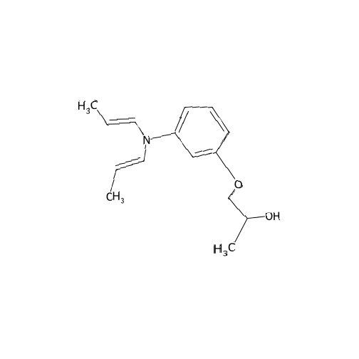 CC=CN(C=CC)c1cccc(OCC(C)O)c1